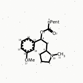 CCCCCC(=O)OC(CC1CCCN1C)c1cccc(OC)c1